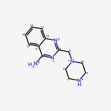 Nc1nc(CN2CCNCC2)nc2ccccc12